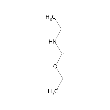 CCN[CH]OCC